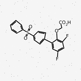 O=C(O)COc1c(F)cc(F)cc1-c1ccc(S(=O)(=O)c2ccccc2)cc1